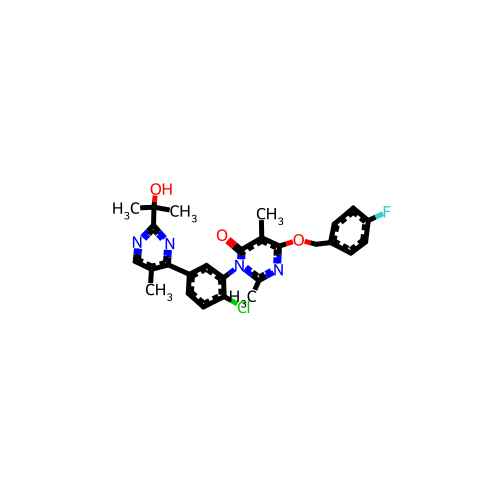 Cc1cnc(C(C)(C)O)nc1-c1ccc(Cl)c(-n2c(C)nc(OCc3ccc(F)cc3)c(C)c2=O)c1